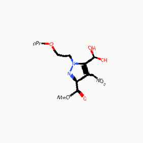 CCCOCCn1nc(C(=O)OC)c([N+](=O)[O-])c1C(O)O